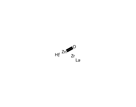 [Hf].[La].[O]=[Zn].[Zr]